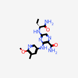 CC[C@@H](Nc1cnc(C(N)=O)c(Nc2cnc(OC)c(C)c2)n1)C(N)=O